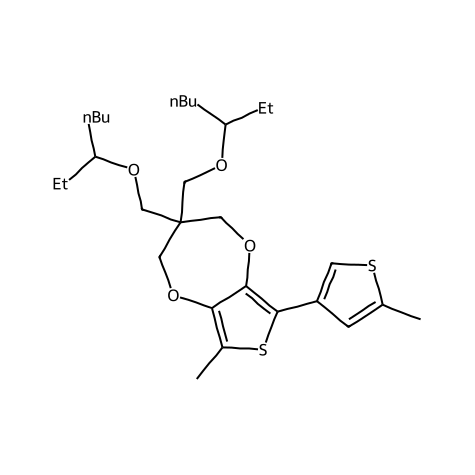 CCCCC(CC)OCC1(COC(CC)CCCC)COc2c(C)sc(-c3csc(C)c3)c2OC1